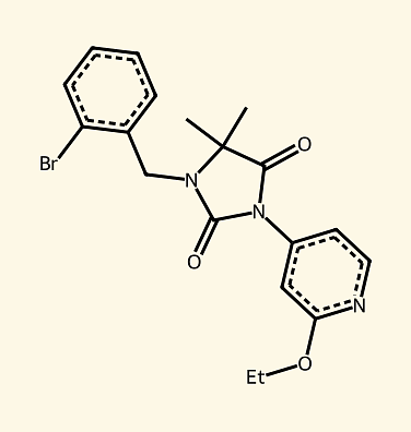 CCOc1cc(N2C(=O)N(Cc3ccccc3Br)C(C)(C)C2=O)ccn1